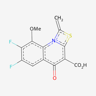 C=c1sc2c(C(=O)O)c(=O)c3cc(F)c(F)c(OC)c3n12